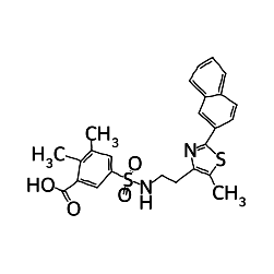 Cc1cc(S(=O)(=O)NCCc2nc(-c3ccc4ccccc4c3)sc2C)cc(C(=O)O)c1C